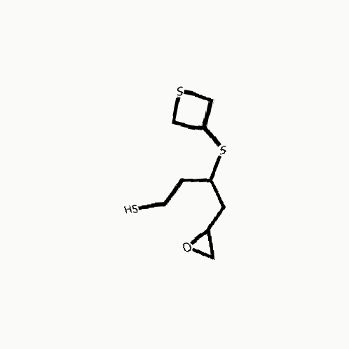 SCCC(CC1CO1)SC1CSC1